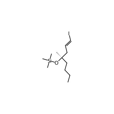 CCCC[C@](C)(C/C=C/I)O[Si](C)(C)C